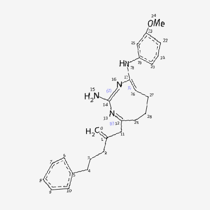 C=C(CCCc1ccccc1)C/C1=N/C(N)=N\C(Nc2cccc(OC)c2)=C\CCC1